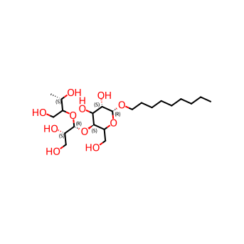 CCCCCCCCCO[C@@H]1OC(CO)[C@@H](O[C@@H](OC(CO)[C@H](C)O)[C@@H](O)CO)C(O)[C@@H]1O